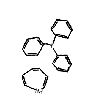 C1=CC=CNC=C1.c1ccc(P(c2ccccc2)c2ccccc2)cc1